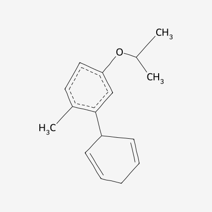 Cc1ccc(OC(C)C)cc1C1C=CCC=C1